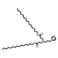 CCCCCCCCCCCCCCCOC(=O)CCN(CCCn1ccnc1)CCC(=O)OCCCCCCCCCCCCCCC